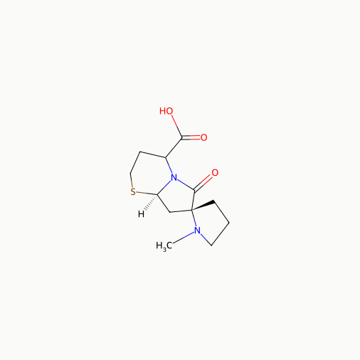 CN1CCC[C@]12C[C@H]1SCCC(C(=O)O)N1C2=O